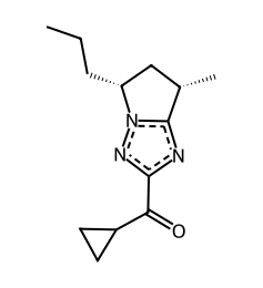 CCC[C@@H]1C[C@H](C)c2nc(C(=O)C3CC3)nn21